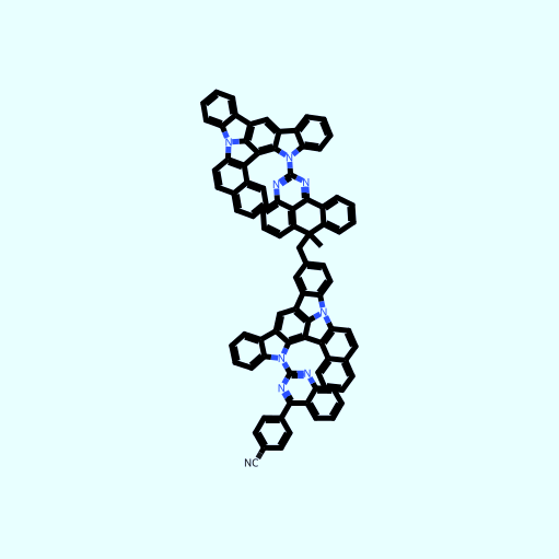 CC1(Cc2ccc3c(c2)c2cc4c5ccccc5n(-c5nc(-c6ccc(C#N)cc6)c6ccccc6n5)c4c4c5c6ccccc6ccc5n3c24)c2ccccc2-c2nc(-n3c4ccccc4c4cc5c6ccccc6n6c7ccc8ccccc8c7c(c43)c56)nc3cccc1c23